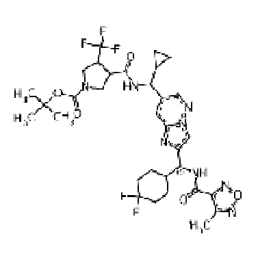 Cc1nonc1C(=O)N[C@H](c1cn2ncc(C(NC(=O)C3CN(C(=O)OC(C)(C)C)CC3C(F)(F)F)C3CC3)cc2n1)C1CCC(F)(F)CC1